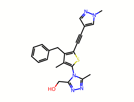 Cc1c(-n2c(C)nnc2CO)sc(C#Cc2cnn(C)c2)c1Cc1ccccc1